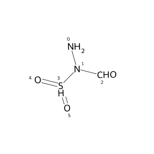 NN(C=O)[SH](=O)=O